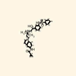 CC(C)(CCn1ccc2cc(NC(=O)C3CC3)ccc21)NC[C@H](O)c1cccc(NS(=O)(=O)c2ccccc2)c1